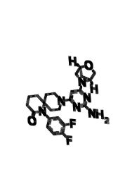 Nc1nc(N2CCC3(CCCC(=O)N3c3ccc(F)c(F)c3)CC2)cc(N2C[C@H]3C[C@@H]2CO3)n1